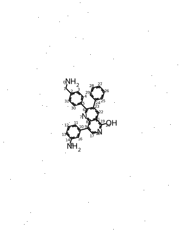 NCc1ccc(-c2nc3c(-c4cccc(N)c4)cnc(O)c3cc2-c2ccccc2)cc1